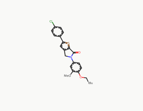 COc1cc(N2Cc3cc(-c4ccc(Cl)cc4)sc3C2=O)ccc1OCC(C)(C)C